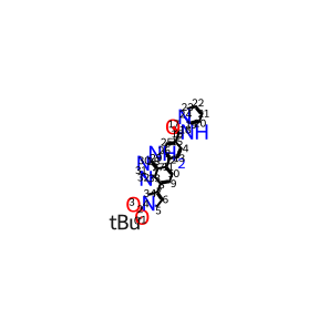 CC(C)(C)OC(=O)N1CC=C(c2ccc(-c3ccc(C(=O)Nc4ccccn4)cc3)c3c(N)ncnc23)C1